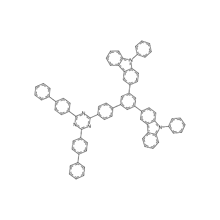 c1ccc(-c2ccc(-c3nc(-c4ccc(-c5ccccc5)cc4)nc(-c4ccc(-c5cc(-c6ccc7c(c6)c6ccccc6n7-c6ccccc6)cc(-c6ccc7c(c6)c6ccccc6n7-c6ccccc6)c5)cc4)n3)cc2)cc1